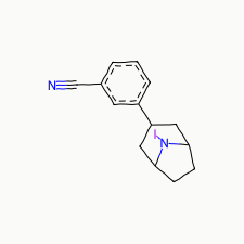 N#Cc1cccc(C2CC3CCC(C2)N3I)c1